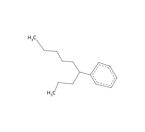 CCCCC[C](CCC)c1ccccc1